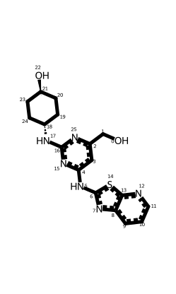 OCc1cc(Nc2nc3cccnc3s2)nc(N[C@H]2CC[C@H](O)CC2)n1